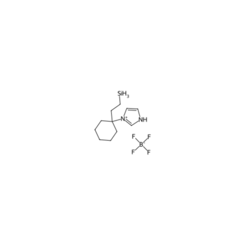 F[B-](F)(F)F.[SiH3]CCC1([n+]2cc[nH]c2)CCCCC1